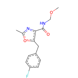 COCNC(=O)c1nc(C)oc1Cc1ccc(F)cc1